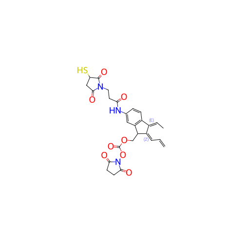 C=C/C=C1\C(=C/C)c2ccc(NC(=O)CCN3C(=O)CC(S)C3=O)cc2C1COC(=O)ON1C(=O)CCC1=O